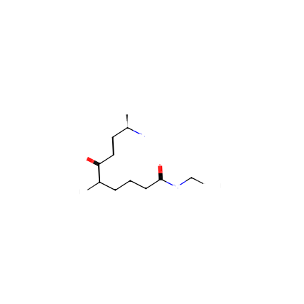 CCC(CCCC(=O)NCC(=O)O)C(=O)CC[C@H](N)C(=O)O